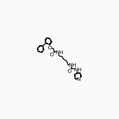 O=C(COc1ccccc1-c1ccccc1)NCCCCCNC(=O)Nc1ccncc1